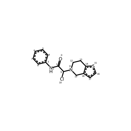 O=C(Nc1ccccc1)C(Cl)N1CCc2sccc2C1